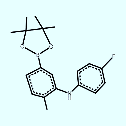 Cc1ccc(B2OC(C)(C)C(C)(C)O2)cc1Nc1ccc(F)cc1